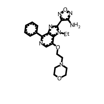 CCn1c(-c2nonc2N)nc2c(-c3ccccc3)ncc(OCCN3CCOCC3)c21